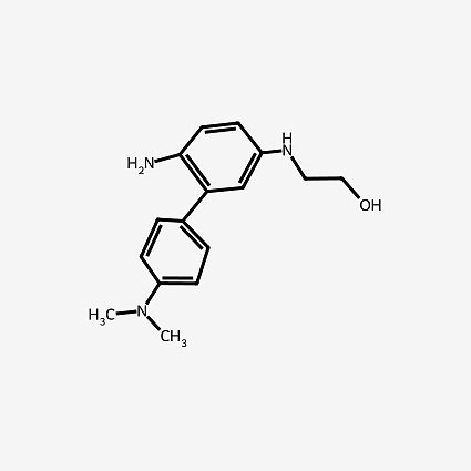 CN(C)c1ccc(-c2cc(NCCO)ccc2N)cc1